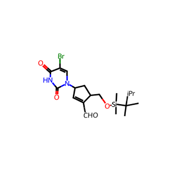 CC(C)C(C)(C)[Si](C)(C)OCC1CC(n2cc(Br)c(=O)[nH]c2=O)C=C1C=O